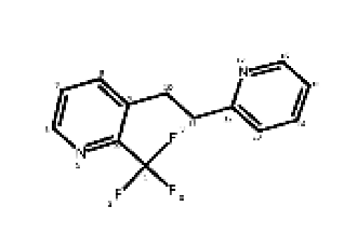 FC(F)(F)c1ncccc1CCc1ccccn1